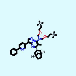 Cc1c([C@H]2C[C@@H]3CC[C@@H](C3)C2)nc2c(-c3ccc(-c4ccccc4)nc3)cnn2c1N(COCC[Si](C)(C)C)COCC[Si](C)(C)C